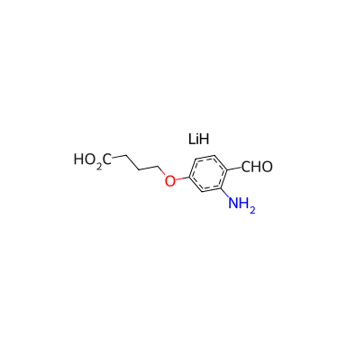 Nc1cc(OCCCC(=O)O)ccc1C=O.[LiH]